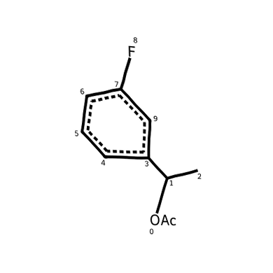 CC(=O)OC(C)c1cccc(F)c1